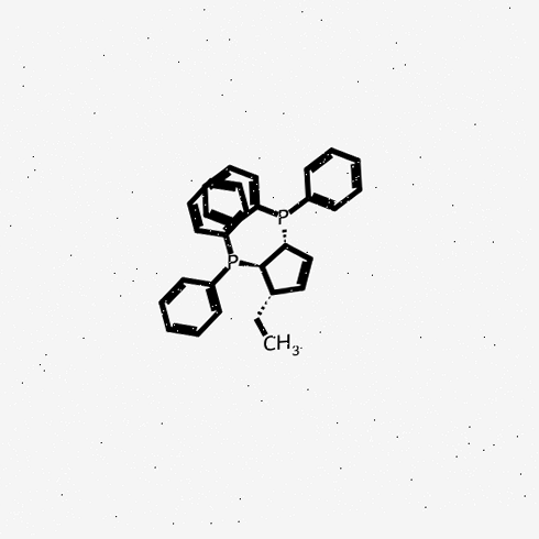 CC[C@H]1C=C[C@@H](P(c2ccccc2)c2ccccc2)[C@@H]1P(c1ccccc1)c1ccccc1